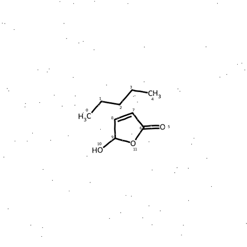 CCCCC.O=C1C=CC(O)O1